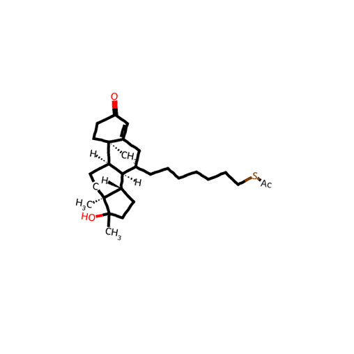 CC(=O)SCCCCCCCC1CC2=CC(=O)CC[C@]2(C)[C@@H]2CC[C@@]3(C)[C@@H](CCC3(C)O)[C@H]12